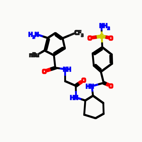 CCCCc1c(N)cc(C(F)(F)F)cc1C(=O)NCC(=O)NC1CCCCC1NC(=O)c1ccc(S(N)(=O)=O)cc1